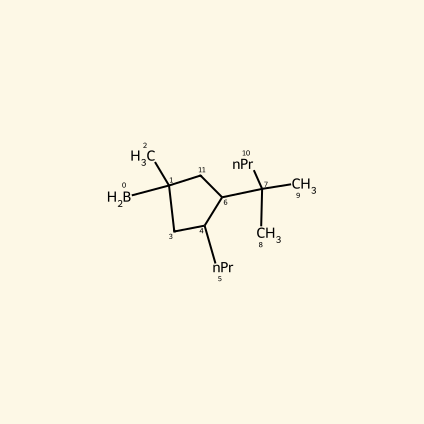 BC1(C)CC(CCC)C(C(C)(C)CCC)C1